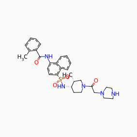 Cc1ccccc1C(=O)Nc1ccc(S(=O)(=O)N[C@H]2CCN(C(=O)CN3CCNCC3)C[C@H]2C)c2ccccc12